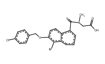 CN(CC(=O)O)C(=S)c1cccc2c(Br)c(OCc3ccc(Cl)cc3)ccc12